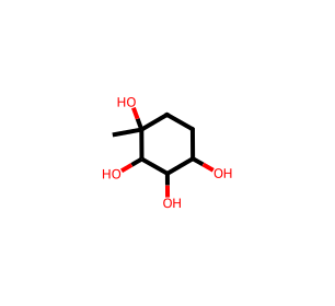 CC1(O)CCC(O)C(O)C1O